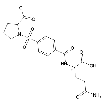 NC(=O)CC[C@H](NC(=O)c1ccc(S(=O)(=O)N2CCCC2C(=O)O)cc1)C(=O)O